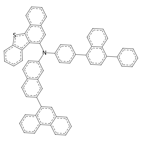 c1ccc(-c2ccc(-c3ccc(N(c4ccc5ccc(-c6cc7ccccc7c7ccccc67)cc5c4)c4cc5ccccc5c5sc6ccccc6c45)cc3)c3ccccc23)cc1